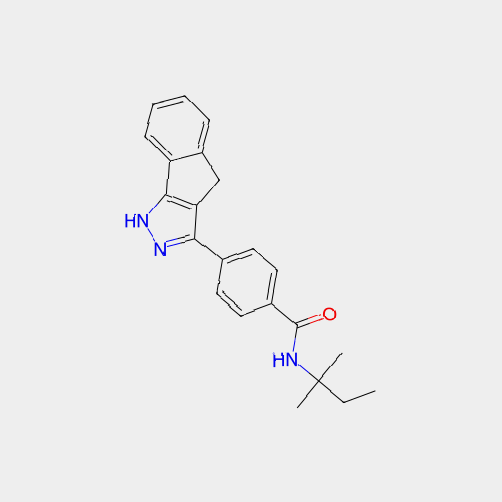 CCC(C)(C)NC(=O)c1ccc(-c2n[nH]c3c2Cc2ccccc2-3)cc1